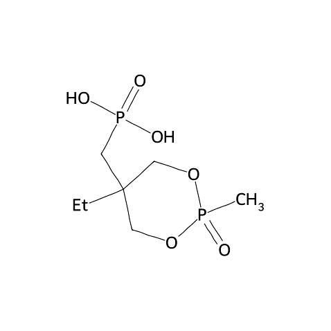 CCC1(CP(=O)(O)O)COP(C)(=O)OC1